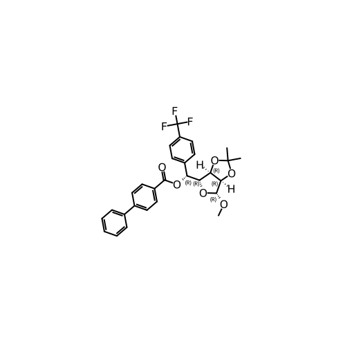 CO[C@@H]1O[C@H]([C@H](OC(=O)c2ccc(-c3ccccc3)cc2)c2ccc(C(F)(F)F)cc2)[C@H]2OC(C)(C)O[C@@H]12